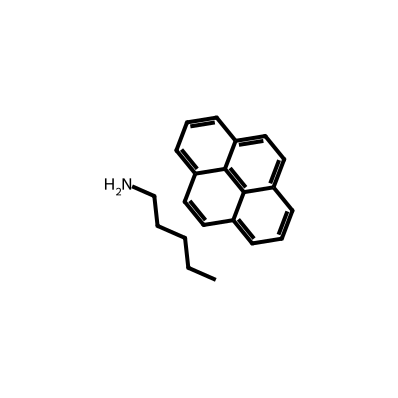 CCCCCN.c1cc2ccc3cccc4ccc(c1)c2c34